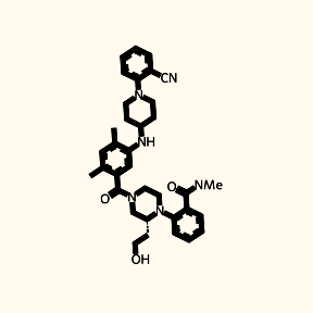 CNC(=O)c1ccccc1N1CCN(C(=O)c2cc(NC3CCN(c4ccccc4C#N)CC3)c(C)cc2C)C[C@H]1CCO